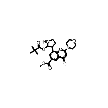 COC(=O)c1cc(C2CCNC2OC(=O)C(C)(C)C)c2oc(N3CCOCC3)cc(=O)c2c1